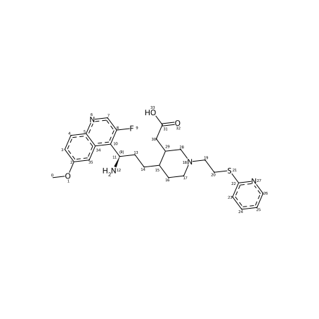 COc1ccc2ncc(F)c([C@H](N)CCC3CCN(CCSc4ccccn4)CC3CC(=O)O)c2c1